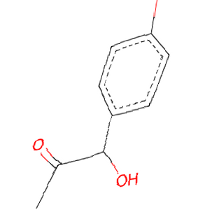 CCC(=O)C(O)c1ccc(OC)cc1